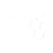 COC1(N)N(OCCCO)[N+]([O-])=c2ccccc2=[N+]1[O-]